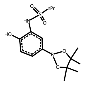 CCCS(=O)(=O)Nc1cc(B2OC(C)(C)C(C)(C)O2)ccc1O